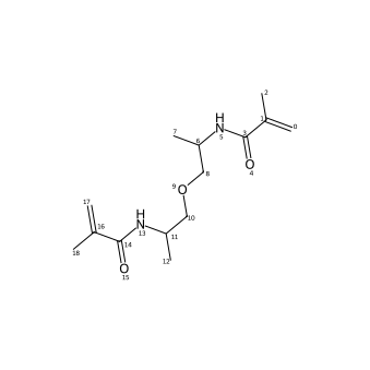 C=C(C)C(=O)NC(C)COCC(C)NC(=O)C(=C)C